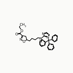 CCOC(=O)C1=NOC(CCCCNc2nccn2C(c2ccccc2)(c2ccccc2)c2ccccc2)C1